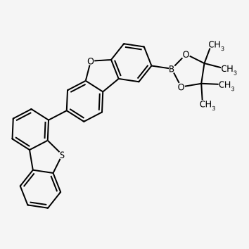 CC1(C)OB(c2ccc3oc4cc(-c5cccc6c5sc5ccccc56)ccc4c3c2)OC1(C)C